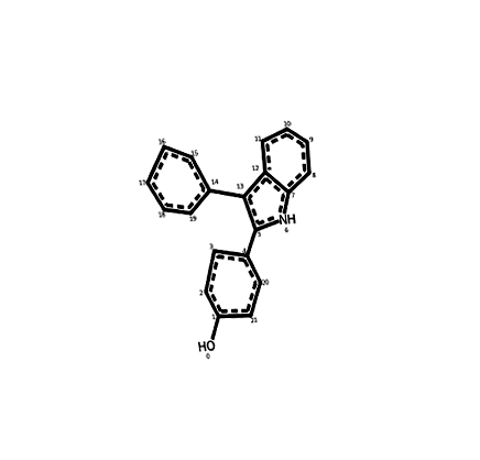 Oc1ccc(-c2[nH]c3ccccc3c2-c2ccccc2)cc1